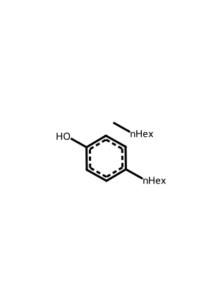 CCCCCCc1ccc(O)cc1.CCC[CH]CCC